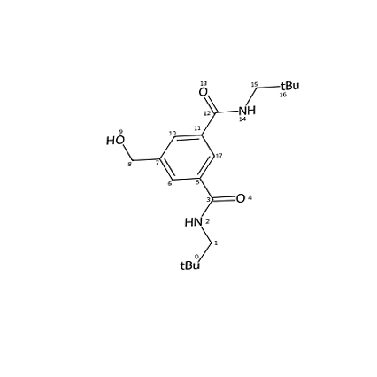 CC(C)(C)CNC(=O)c1cc(CO)cc(C(=O)NCC(C)(C)C)c1